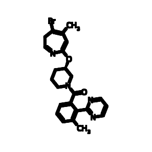 CC1=C(Br)CC=NC(O[C@@H]2CCCN(C(=O)c3cccc(C)c3-c3ncccn3)C2)=C1